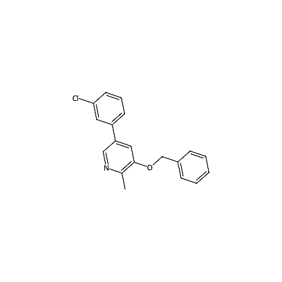 Cc1ncc(-c2cccc(Cl)c2)cc1OCc1ccccc1